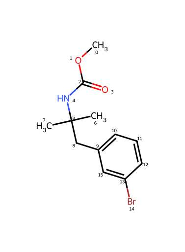 COC(=O)NC(C)(C)Cc1cccc(Br)c1